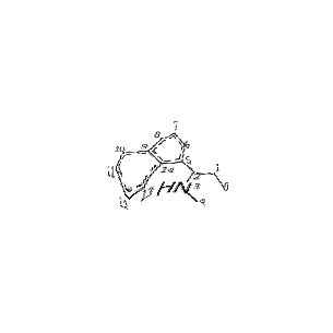 CCC(NC)c1cccc2ccccc12